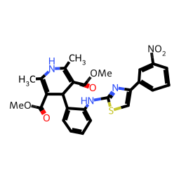 COC(=O)C1=C(C)NC(C)=C(C(=O)OC)C1c1ccccc1Nc1nc(-c2cccc([N+](=O)[O-])c2)cs1